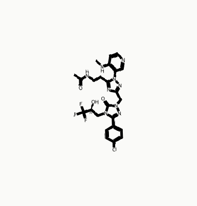 CNc1ccncc1-n1nc(Cn2nc(-c3ccc(Cl)cc3)n(C[C@H](O)C(F)(F)F)c2=O)nc1CCNC(C)=O